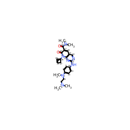 CN(C)CCN(C)c1ccc(Nc2ncc3cc(C(=O)N(C)C)c(=O)n(C45CC(C4)C5)c3n2)cc1